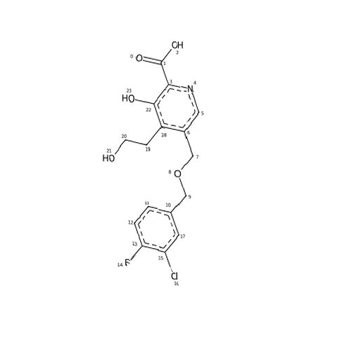 O=C(O)c1ncc(COCc2ccc(F)c(Cl)c2)c(CCO)c1O